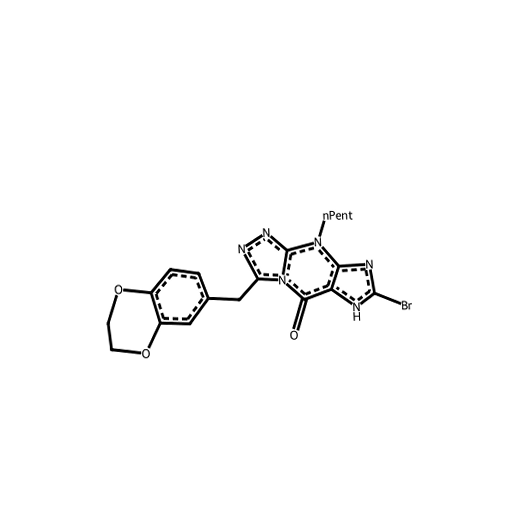 CCCCCn1c2nc(Br)[nH]c2c(=O)n2c(Cc3ccc4c(c3)OCCO4)nnc12